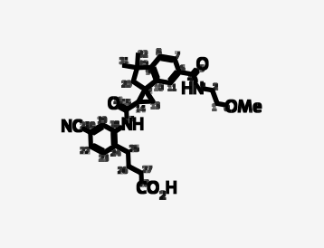 COCCNC(=O)c1ccc2c(c1)C1(CC1C(=O)Nc1cc(C#N)ccc1CCCC(=O)O)CC2(C)C